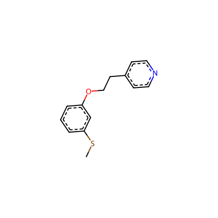 CSc1cccc(OCCc2ccncc2)c1